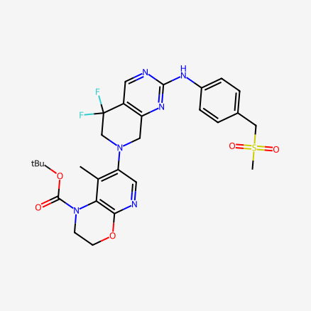 Cc1c(N2Cc3nc(Nc4ccc(CS(C)(=O)=O)cc4)ncc3C(F)(F)C2)cnc2c1N(C(=O)OC(C)(C)C)CCO2